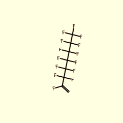 C=C(F)C(F)(F)C(F)(F)C(F)(F)C(F)(F)C(F)(F)C(F)(F)F